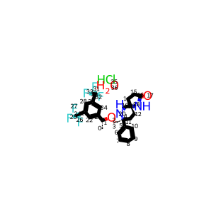 C[C@@H](OC[C@@]1(c2ccccc2)CC[C@]2(CCC(=O)N2)CN1)c1cc(C(F)(F)F)cc(C(F)(F)F)c1.Cl.O